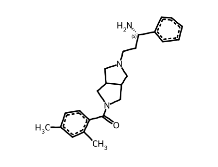 Cc1ccc(C(=O)N2CC3CN(CC[C@H](N)c4ccccc4)CC3C2)c(C)c1